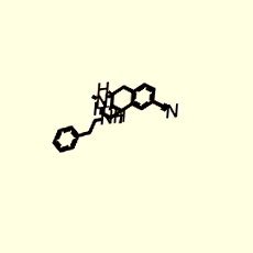 CN1CC[C@@]2(C)c3cc(C#N)ccc3C[C@@H]1[C@@H]2NCCc1ccccc1